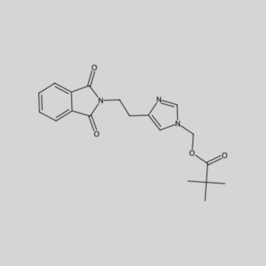 CC(C)(C)C(=O)OCn1cnc(CCN2C(=O)c3ccccc3C2=O)c1